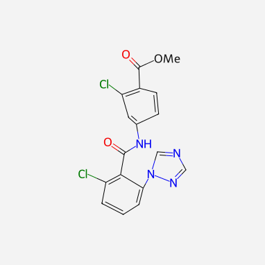 COC(=O)c1ccc(NC(=O)c2c(Cl)cccc2-n2cncn2)cc1Cl